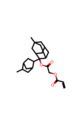 C=CC(=O)OCC(=O)OC1(C2CC3CC2CC3C)C2CC3CC1CC(C)(C3)C2